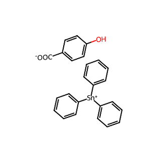 O=C([O-])c1ccc(O)cc1.c1cc[c]([Sn+]([c]2ccccc2)[c]2ccccc2)cc1